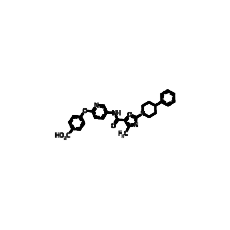 O=C(O)c1ccc(Oc2ccc(NC(=O)c3oc(N4CCC(c5ccccc5)CC4)nc3C(F)(F)F)cn2)cc1